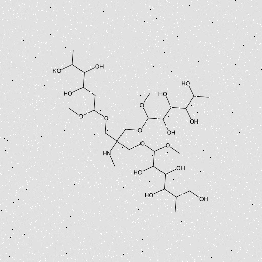 CNC(COC(CC(O)C(O)C(C)O)OC)(COC(OC)C(O)C(O)C(O)C(C)O)COC(OC)C(O)C(O)C(O)C(C)CO